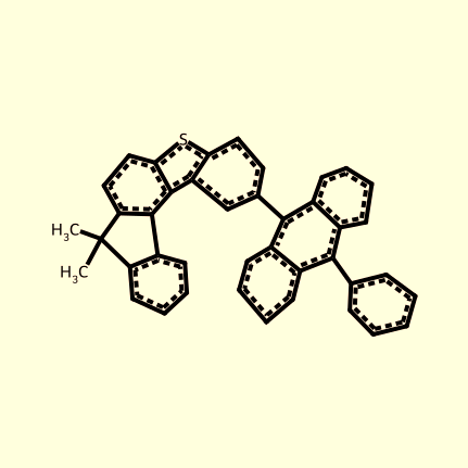 CC1(C)c2ccccc2-c2c1ccc1sc3ccc(-c4c5ccccc5c(-c5ccccc5)c5ccccc45)cc3c21